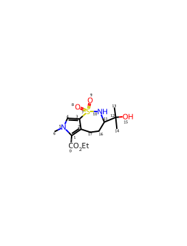 CCOC(=O)c1c2c(cn1C)S(=O)(=O)NC(C(C)(C)O)CC2